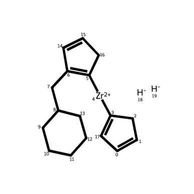 C1=CC[C]([Zr+2][C]2=C(CC3CCCCC3)C=CC2)=C1.[H-].[H-]